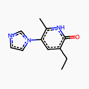 CCc1cc(-n2ccnc2)c(C)[nH]c1=O